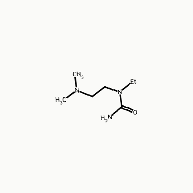 CCN(CCN(C)C)C(N)=O